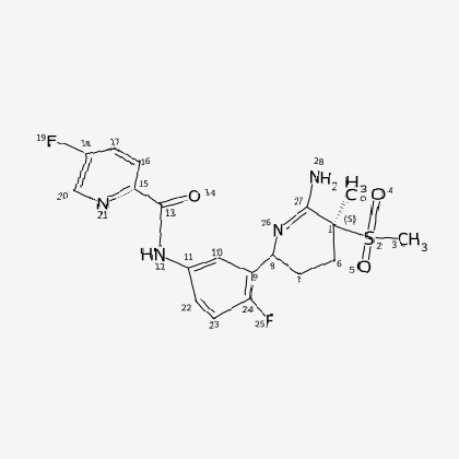 C[C@]1(S(C)(=O)=O)CCC(c2cc(NC(=O)c3ccc(F)cn3)ccc2F)N=C1N